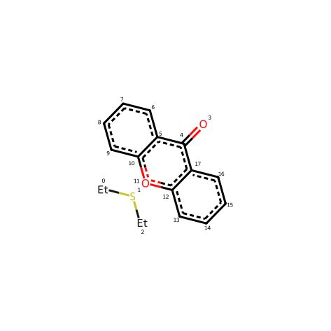 CCSCC.O=c1c2ccccc2oc2ccccc12